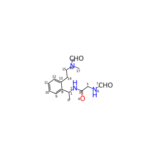 CC(NC(=O)CNC=O)c1ccccc1CCN(C)C=O